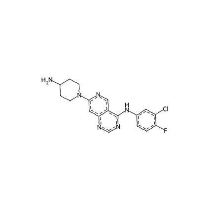 NC1CCN(c2cc3ncnc(Nc4ccc(F)c(Cl)c4)c3cn2)CC1